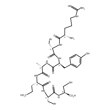 CC(C)C[C@H](NC(=O)[C@H](CCC(=O)O)NC(=O)[C@H](C)NC(=O)[C@H](Cc1ccc(O)cc1)NC(=O)[C@H](CC(C)C)NC(=O)[C@@H](N)CCCNC(=N)N)C(=O)N[C@@H](CS)C(=O)O